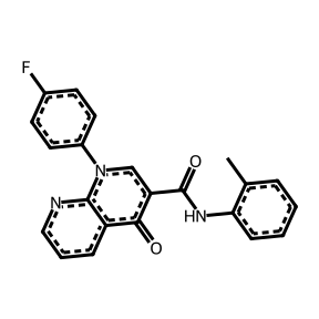 Cc1ccccc1NC(=O)c1cn(-c2ccc(F)cc2)c2ncccc2c1=O